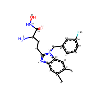 Cc1cc2nc(CCC(N)C(=O)NO)n(Cc3cccc(F)c3)c2cc1C